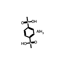 CP(=O)(O)c1ccc(P(C)(=O)O)cc1.[AlH3]